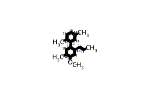 C/C=C/c1cc(OC)c(C)cc1-c1cc(C)ccc1C